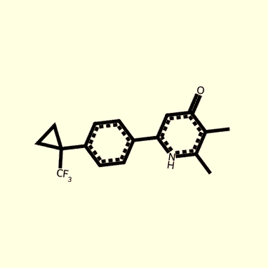 Cc1[nH]c(-c2ccc(C3(C(F)(F)F)CC3)cc2)cc(=O)c1C